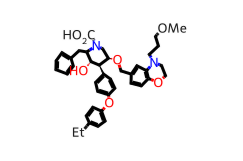 CCc1ccc(Oc2ccc([C@@H]3[C@@H](OCc4ccc5c(c4)N(CCCOC)CCO5)CN(C(=O)O)C(Cc4ccccc4)[C@H]3O)cc2)cc1